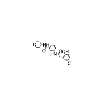 O=C(Cc1cc(Cl)ccc1O)Nc1cccc(C(=O)NC2CCOCC2)c1